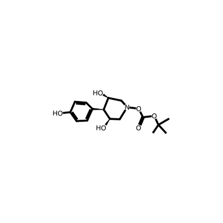 CC(C)(C)OC(=O)ON1C[C@@H](O)[C@@H](c2ccc(O)cc2)[C@@H](O)C1